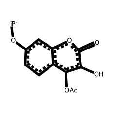 CC(=O)Oc1c(O)c(=O)oc2cc(OC(C)C)ccc12